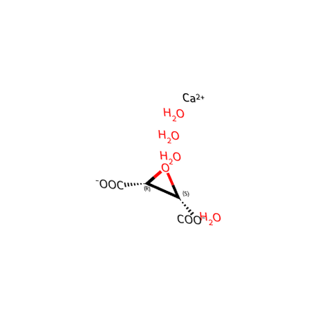 O.O.O.O.O=C([O-])[C@H]1O[C@H]1C(=O)[O-].[Ca+2]